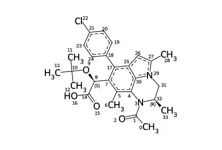 CC(=O)N1c2c(C)c([C@H](OC(C)(C)C)C(=O)O)c(-c3ccc(Cl)cc3)c3cc(C)n(c23)C[C@H]1C